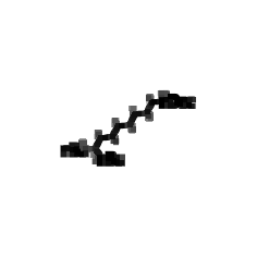 [CH2]CCCC(CCCC)CCCCCCCCCCCCCCCCC